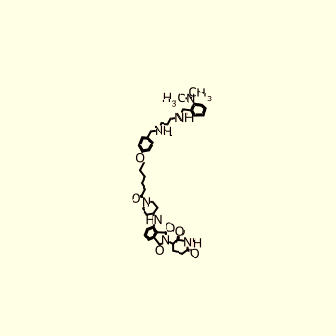 CN(C)c1ccccc1CNCCCNCc1ccc(OCCCCCC(=O)N2CCC(Nc3cccc4c3C(=O)N(C3CCC(=O)NC3=O)C4=O)CC2)cc1